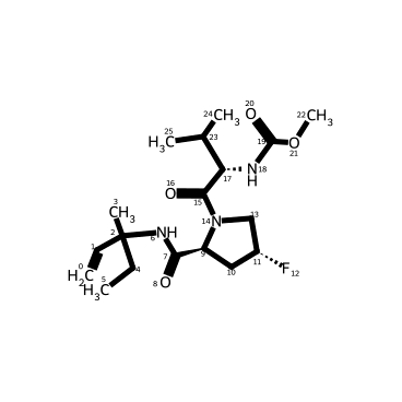 C=CC(C)(CC)NC(=O)[C@@H]1C[C@@H](F)CN1C(=O)[C@@H](NC(=O)OC)C(C)C